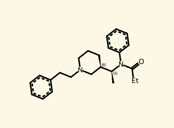 CCC(=O)N(c1ccccc1)[C@@H](C)[C@@H]1CCCN(CCc2ccccc2)C1